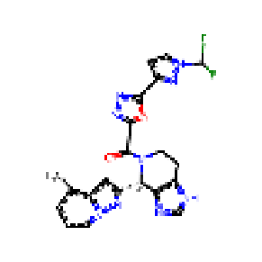 O=C(c1nnc(-c2ccn(C(F)F)n2)o1)N1CCc2[nH]cnc2[C@@H]1c1cc2c(C(F)(F)F)cccn2n1